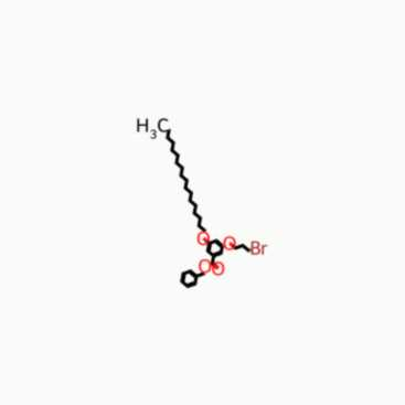 CCCCCCCCCCCCCCCCCCOc1cc(OCCCBr)cc(C(=O)OCc2ccccc2)c1